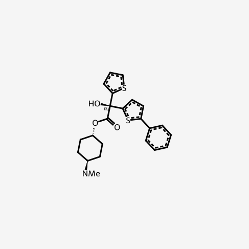 CN[C@H]1CC[C@H](OC(=O)[C@](O)(c2cccs2)c2ccc(-c3ccccc3)s2)CC1